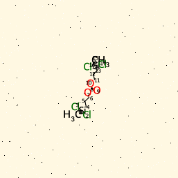 C[Si](Cl)(Cl)CCCOC(=O)OCCC[Si](C)(Cl)Cl